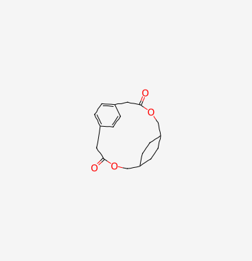 O=C1Cc2ccc(cc2)CC(=O)OCC2CCC(CC2)CO1